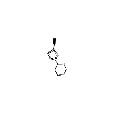 C#Cc1ccn(C2CCCCO2)n1